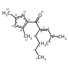 CCCC/C(=C\N(C)C)C(=O)c1nc(C)sc1C